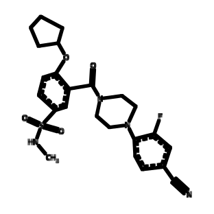 CNS(=O)(=O)c1ccc(OC2CCCC2)c(C(=O)N2CCN(c3ccc(C#N)cc3F)CC2)c1